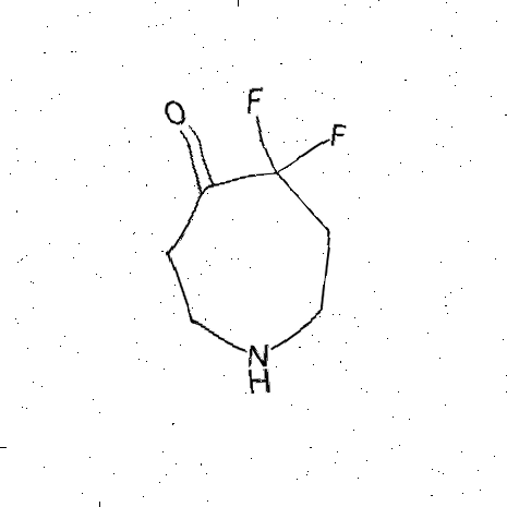 O=C1CCNCCC1(F)F